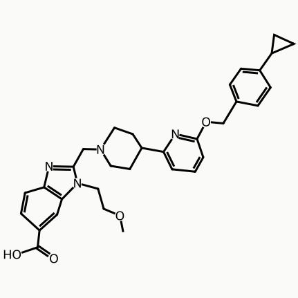 COCCn1c(CN2CCC(c3cccc(OCc4ccc(C5CC5)cc4)n3)CC2)nc2ccc(C(=O)O)cc21